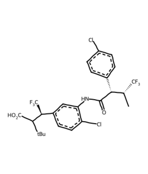 C[C@H]([C@H](C(=O)Nc1cc([C@@H](C(C(=O)O)C(C)(C)C)C(F)(F)F)ccc1Cl)c1ccc(Cl)cc1)C(F)(F)F